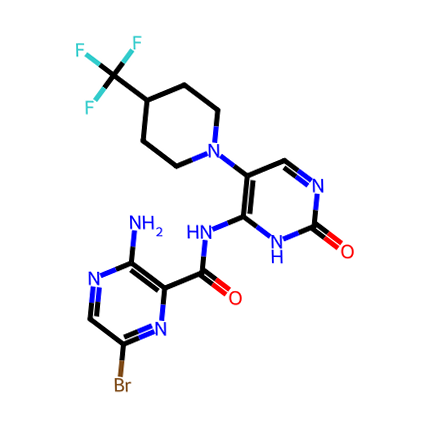 Nc1ncc(Br)nc1C(=O)Nc1[nH]c(=O)ncc1N1CCC(C(F)(F)F)CC1